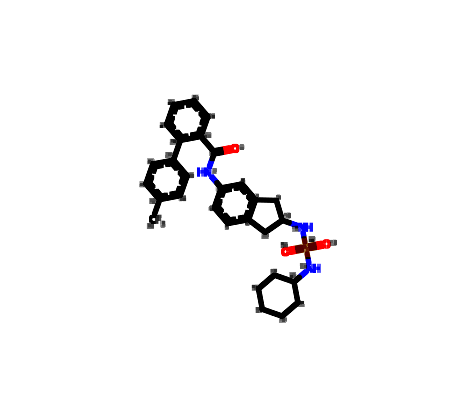 O=C(Nc1ccc2c(c1)CC(NS(=O)(=O)NC1CCCCC1)C2)c1ccccc1-c1ccc(C(F)(F)F)cc1